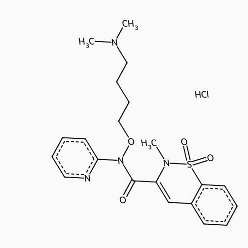 CN(C)CCCCON(C(=O)C1=Cc2ccccc2S(=O)(=O)N1C)c1ccccn1.Cl